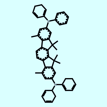 Cc1cc(N(C2=CCCC=C2)c2ccccc2)cc2c1-c1ccc3c(c1C2(C)C)C(C)(C)c1cc(N(C2=CC=CCC2)C2C=CC=CC2)cc(C)c1-3